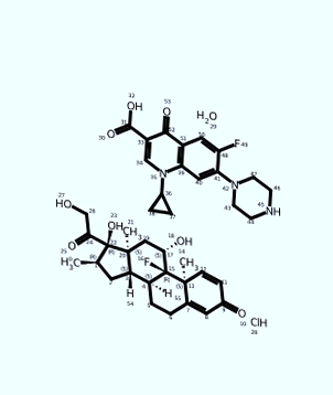 C[C@@H]1C[C@H]2[C@@H]3CCC4=CC(=O)C=C[C@]4(C)[C@@]3(F)[C@@H](O)C[C@]2(C)[C@@]1(O)C(=O)CO.Cl.O.O=C(O)c1cn(C2CC2)c2cc(N3CCNCC3)c(F)cc2c1=O